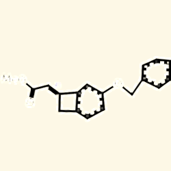 COC(=O)/C=C1\Cc2ccc(OCc3ccccc3)cc21